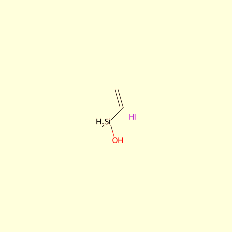 C=C[SiH2]O.I